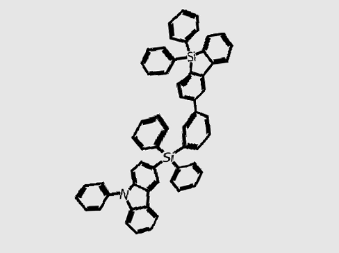 c1ccc(-n2c3ccccc3c3cc([Si](c4ccccc4)(c4ccccc4)c4cccc(-c5ccc6c(c5)-c5ccccc5[Si]6(c5ccccc5)c5ccccc5)c4)ccc32)cc1